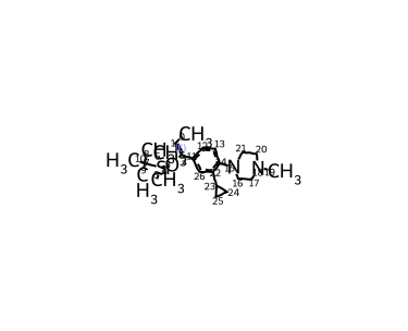 C/C=C(/O[Si](C)(C)C(C)(C)C)c1ccc(N2CCN(C)CC2)c(C2CC2)c1